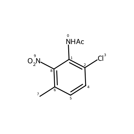 CC(=O)Nc1c(Cl)ccc(C)c1[N+](=O)[O-]